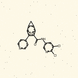 O=C(Nc1cnc(Cl)c(Cl)c1)c1c(-c2ccncc2)c2oc1c1c2C1